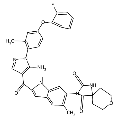 Cc1cc2cc(C(=O)c3cnn(-c4ccc(Oc5ccccc5F)cc4C)c3N)[nH]c2cc1N1C(=O)NC2(CCOCC2)C1=O